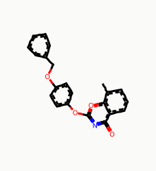 Cc1cccc2c(=O)nc(Oc3ccc(OCc4ccccc4)cc3)oc12